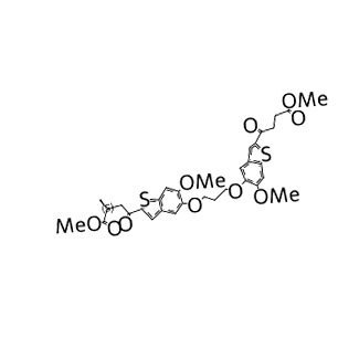 COC(=O)CCC(=O)c1cc2cc(OCCCOc3cc4cc(C(=O)C[C@H](C)C(=O)OC)sc4cc3OC)c(OC)cc2s1